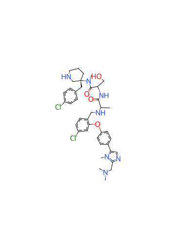 CC(NCc1ccc(Cl)cc1Oc1ccc(-c2cnc(CN(C)C)n2C)cc1)C(=O)NC(CO)C(=O)N(C)[C@@]1(Cc2ccc(Cl)cc2)CCCNC1